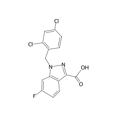 O=C(O)c1nn(Cc2ccc(Cl)cc2Cl)c2cc(F)ccc12